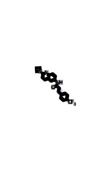 O=C(/C=C/c1ccc(C(F)(F)F)cc1)Nc1ccc2nc(N3CCC3)ccc2c1